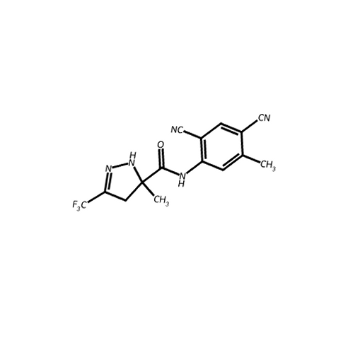 Cc1cc(NC(=O)C2(C)CC(C(F)(F)F)=NN2)c(C#N)cc1C#N